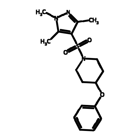 Cc1nn(C)c(C)c1S(=O)(=O)N1CCC(Oc2ccccc2)CC1